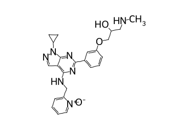 CNCC(O)COc1cccc(-c2nc(NCc3cccc[n+]3[O-])c3cnn(C4CC4)c3n2)c1